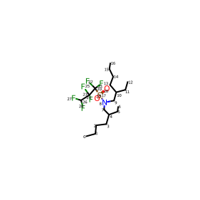 CCCCC(CC)CN(CC(CC)CCCC)S(=O)(=O)C(F)(F)C(F)(F)C(F)F